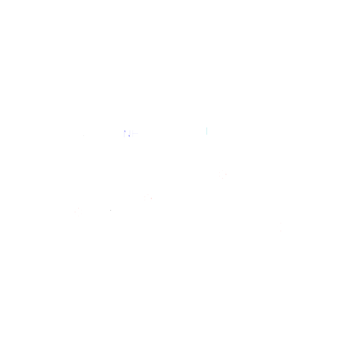 COCCCOc1cc2c(cc1F)C(NC1CC1)=CC(C1(C)COC1)O2